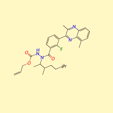 C=CCOC(=O)NN(C(=O)c1cccc(-c2nc3c(C)cccc3nc2C)c1F)C(C)C(C)CCC(C)C